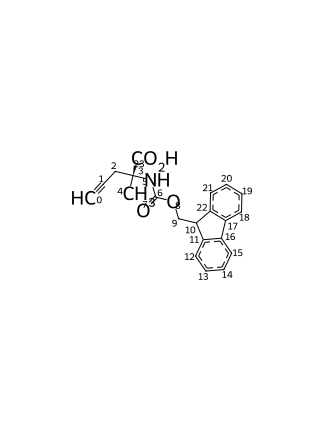 C#CC[C@@](C)(NC(=O)OCC1c2ccccc2-c2ccccc21)C(=O)O